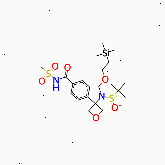 CC(C)(C)[S+]([O-])N(COCC[Si](C)(C)C)C1(c2ccc(C(=O)NS(C)(=O)=O)cc2)COC1